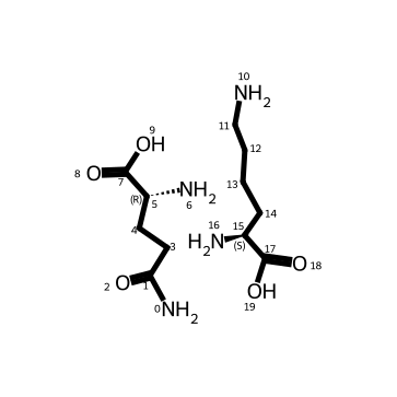 NC(=O)CC[C@@H](N)C(=O)O.NCCCC[C@H](N)C(=O)O